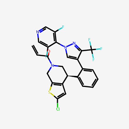 C=CC(=O)N1Cc2sc(Cl)cc2[C@H](c2ccccc2-c2cn(-c3c(F)cncc3F)nc2C(F)(F)F)C1